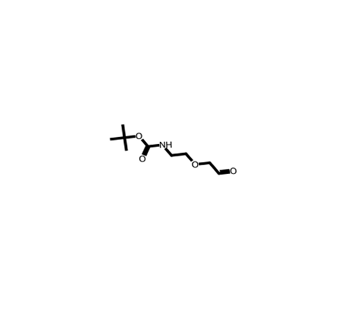 CC(C)(C)OC(=O)NCCOCC=O